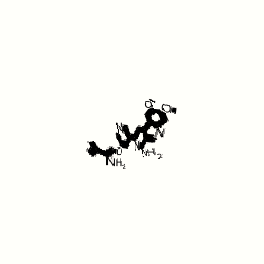 COc1cc2ncc3c(N)nc(-c4cncc(OC[C@@H](N)C(C)C)c4)cc3c2cc1OC